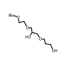 CCC(C)OCCOCC(O)COCCCO